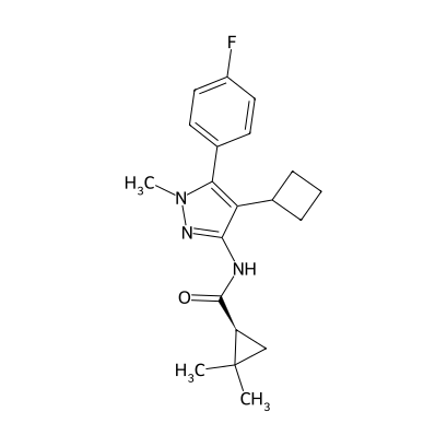 Cn1nc(NC(=O)[C@H]2CC2(C)C)c(C2CCC2)c1-c1ccc(F)cc1